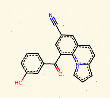 N#Cc1cc(C(=O)c2cccc(O)c2)c2c(ccc3cccn32)c1